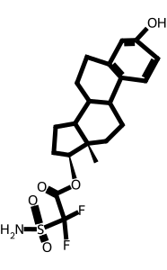 C[C@]12CCC3c4ccc(O)cc4CCC3C1CC[C@@H]2OC(=O)C(F)(F)S(N)(=O)=O